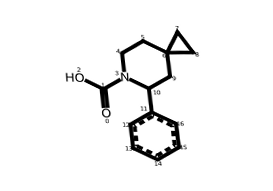 O=C(O)N1CCC2(CC2)CC1c1ccccc1